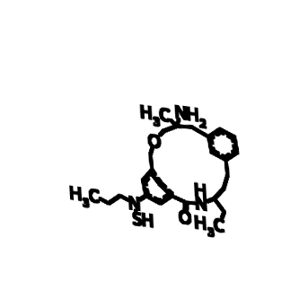 CCCN(S)c1cc2cc(c1)C(=O)NC(CC)CCc1cccc(c1)CC(C)(N)COC2